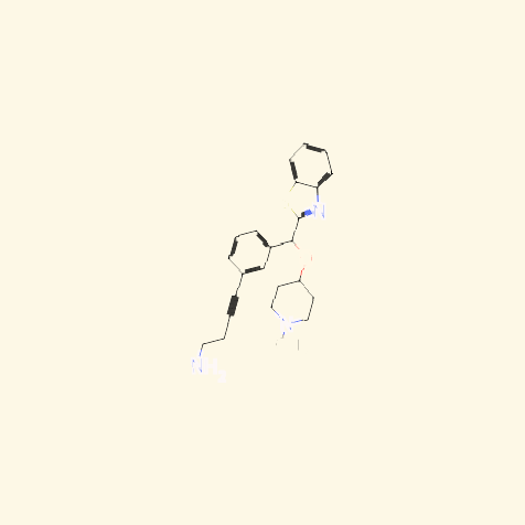 CN1CCC(OC(c2cccc(C#CCCN)c2)c2nc3ccccc3s2)CC1